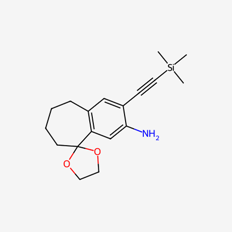 C[Si](C)(C)C#Cc1cc2c(cc1N)C1(CCCC2)OCCO1